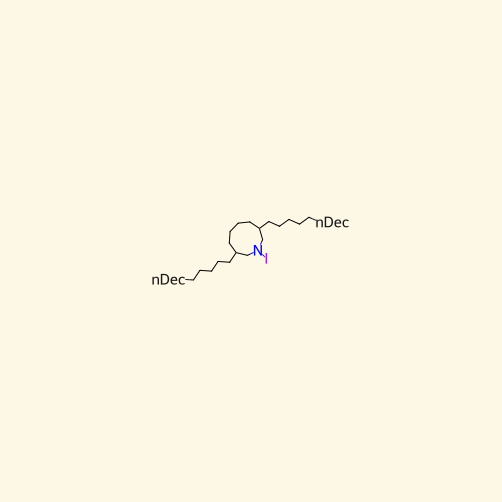 CCCCCCCCCCCCCCCC1CCCCC(CCCCCCCCCCCCCCC)CN(I)C1